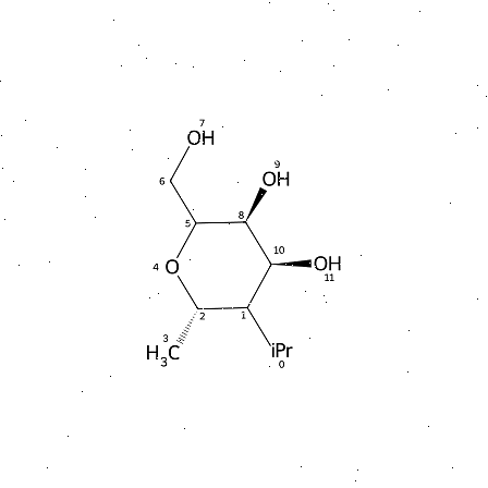 CC(C)C1[C@H](C)OC(CO)[C@@H](O)[C@H]1O